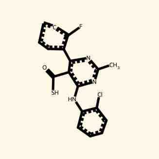 Cc1nc(Nc2ccccc2Cl)c(C(=O)S)c(-c2ccccc2F)n1